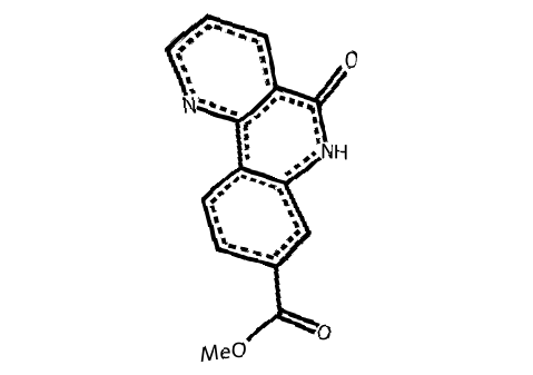 COC(=O)c1ccc2c(c1)[nH]c(=O)c1cccnc12